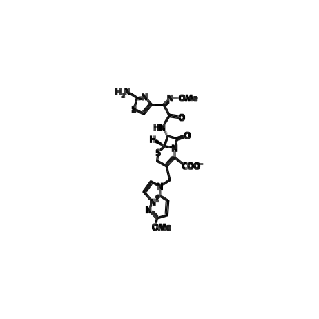 CO/N=C(\C(=O)N[C@@H]1C(=O)N2C(C(=O)[O-])=C(Cn3cc[n+]4nc(OC)ccc34)CS[C@H]12)c1csc(N)n1